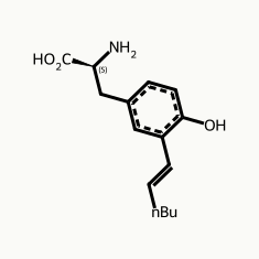 CCCCC=Cc1cc(C[C@H](N)C(=O)O)ccc1O